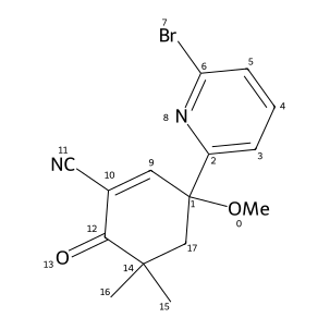 COC1(c2cccc(Br)n2)C=C(C#N)C(=O)C(C)(C)C1